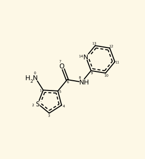 Nc1sccc1C(=O)Nc1ccccn1